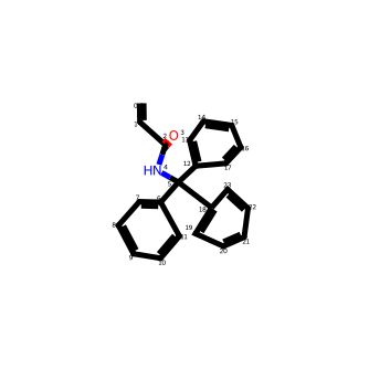 C=CC(=O)NC(c1ccccc1)(c1ccccc1)c1ccccc1